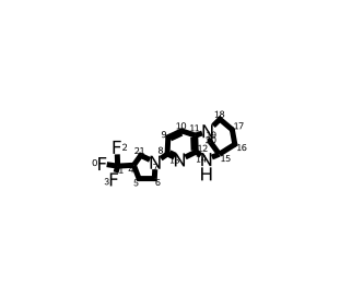 FC(F)(F)C1CCN(c2ccc3c(n2)NC2CCCN3C2)C1